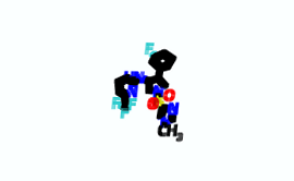 Cn1cnc(S(=O)(=O)N2CC(Nc3cccc(C(F)(F)F)n3)C(c3cccc(F)c3)C2)c1